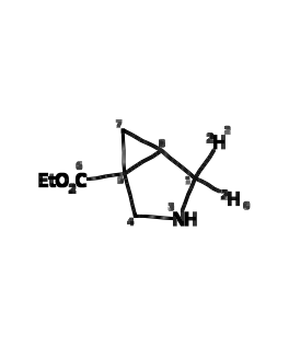 [2H]C1([2H])NCC2(C(=O)OCC)CC12